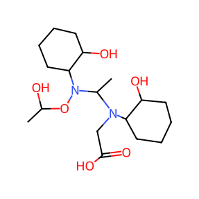 CC(O)ON(C1CCCCC1O)C(C)N(CC(=O)O)C1CCCCC1O